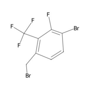 Fc1c(Br)ccc(CBr)c1C(F)(F)F